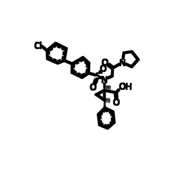 O=C(CN([C@]1(C(=O)O)C[C@H]1c1ccccc1)S(=O)(=O)c1ccc(-c2ccc(Cl)cc2)cc1)N1CCCC1